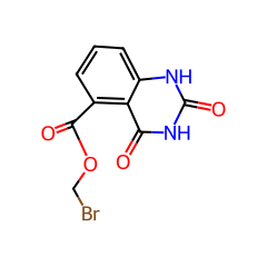 O=C(OCBr)c1cccc2[nH]c(=O)[nH]c(=O)c12